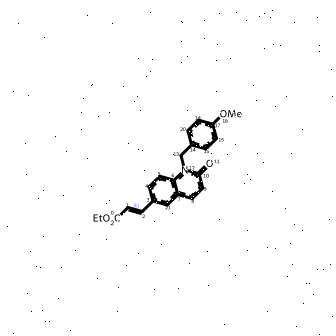 CCOC(=O)/C=C/c1ccc2c(ccc(=O)n2Cc2ccc(OC)cc2)c1